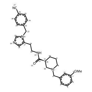 COc1cccc(CN2CCC[C@H](C(=O)NCCc3cncn3Cc3ccc(C#N)cc3)C2)c1